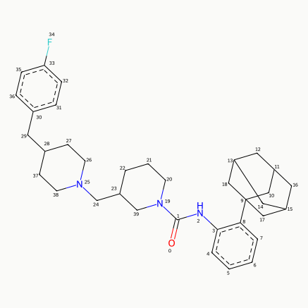 O=C(Nc1ccccc1C12CC3CC(CC(C3)C1)C2)N1CCCC(CN2CCC(Cc3ccc(F)cc3)CC2)C1